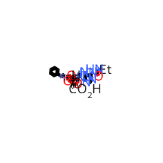 CCNC(=O)Nc1ncnc2c1ncn2[C@@H]1O[C@H](C(=O)O)C2O[C@H](/C=C/c3ccccc3)O[C@@H]21